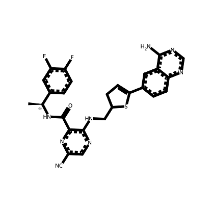 C[C@H](NC(=O)c1nc(C#N)cnc1NCC1CC=C(c2ccc3ncnc(N)c3c2)S1)c1ccc(F)c(F)c1